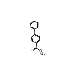 CC(C)(C)OC(=O)c1ccc(-c2[c]cccc2)cc1